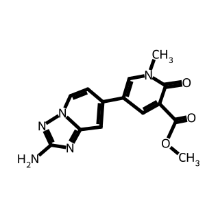 COC(=O)c1cc(-c2ccn3nc(N)nc3c2)cn(C)c1=O